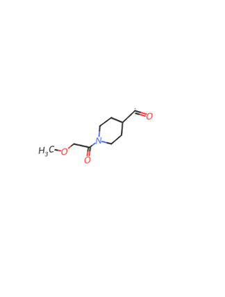 COCC(=O)N1CCC([C]=O)CC1